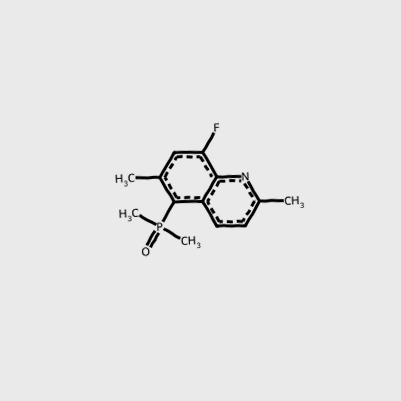 Cc1ccc2c(P(C)(C)=O)c(C)cc(F)c2n1